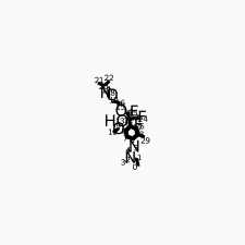 CCN(C)C=Nc1cc(OC)c(C(O)(COCCON=C(C)C)C(F)(F)F)cc1C